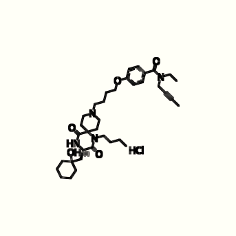 CC#CCN(CC)C(=O)c1ccc(OCCCCN2CCC3(CC2)C(=O)N[C@H](CC2(O)CCCCC2)C(=O)N3CCCC)cc1.Cl